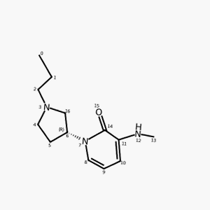 CCCN1CC[C@@H](n2cccc(NC)c2=O)C1